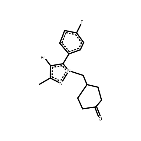 Cc1nn(CC2CCC(=O)CC2)c(-c2ccc(F)cc2)c1Br